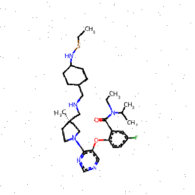 CCSNC1CCC(CNC[C@]2(C)CCN(c3ncncc3Oc3ccc(F)cc3C(=O)N(CC)C(C)C)C2)CC1